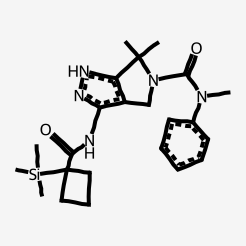 CN(C(=O)N1Cc2c(NC(=O)C3([Si](C)(C)C)CCC3)n[nH]c2C1(C)C)c1ccccc1